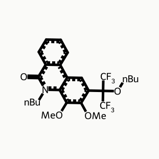 CCCCOC(c1cc2c3ccccc3c(=O)n(CCCC)c2c(OC)c1OC)(C(F)(F)F)C(F)(F)F